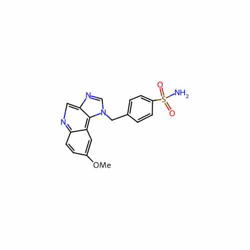 COc1ccc2ncc3ncn(Cc4ccc(S(N)(=O)=O)cc4)c3c2c1